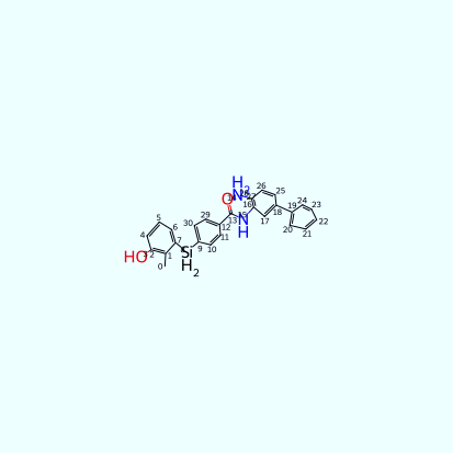 Cc1c(O)cccc1[SiH2]c1ccc(C(=O)Nc2cc(-c3ccccc3)ccc2N)cc1